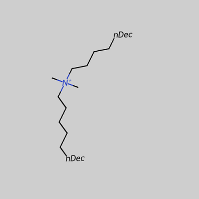 CCCCCCCCCCCCCCC[N+](C)(C)CCCCCCCCCCCCCC